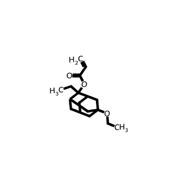 C=CC(=O)OC1(CC)C2CC3CC1CC(OCC)(C3)C2